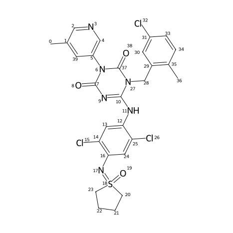 Cc1cncc(-n2c(=O)nc(Nc3cc(Cl)c(N=S4(=O)CCCC4)cc3Cl)n(Cc3cc(Cl)ccc3C)c2=O)c1